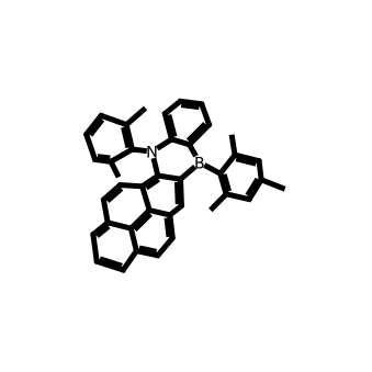 Cc1cc(C)c(B2c3ccccc3N(c3c(C)cccc3C)c3c2cc2ccc4cccc5ccc3c2c45)c(C)c1